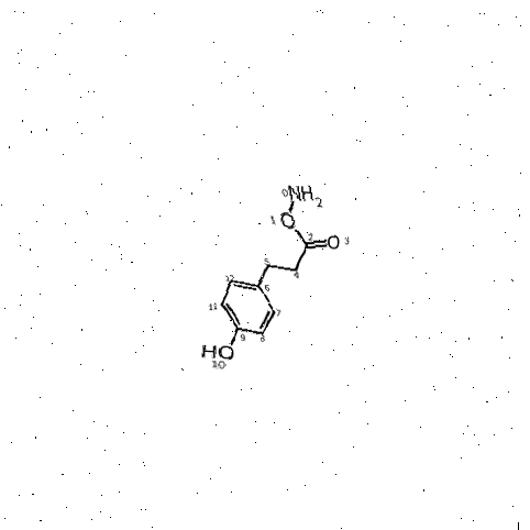 NOC(=O)CCc1ccc(O)cc1